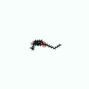 CCCCCC/C=C\CCCCCCCC(=O)O[C@H]1CC[C@@]2(C)[C@@H](CC[C@@H]3[C@@H]2CC[C@]2(C)[C@@H]([C@H](C)CCCC(C)C)CC[C@@H]32)C1